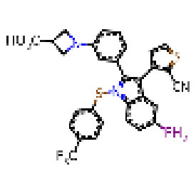 N#Cc1sccc1-c1c(-c2cccc(N3CC(C(=O)O)C3)c2)n(Sc2ccc(C(F)(F)F)cc2)c2ccc(P)cc12